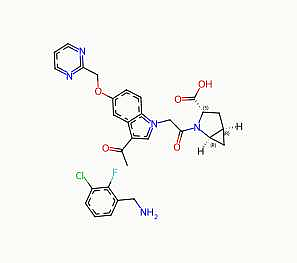 CC(=O)c1cn(CC(=O)N2[C@@H]3C[C@@H]3C[C@H]2C(=O)O)c2ccc(OCc3ncccn3)cc12.NCc1cccc(Cl)c1F